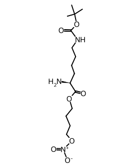 CC(C)(C)OC(=O)NCCCC[C@H](N)C(=O)OCCCCO[N+](=O)[O-]